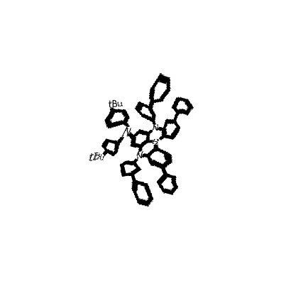 CC(C)(C)c1ccc(N(c2ccc(C(C)(C)C)cc2)c2cc3c4c(c2)N(c2cccc(-c5ccccc5)c2)c2cc(-c5ccccc5)ccc2B4c2ccc(-c4ccccc4)cc2N3c2cccc(-c3ccccc3)c2)cc1